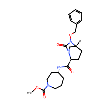 CC(C)(C)OC(=O)N1CCC[C@@H](NC(=O)[C@@H]2CC[C@@H]3CN2C(=O)N3OCc2ccccc2)CC1